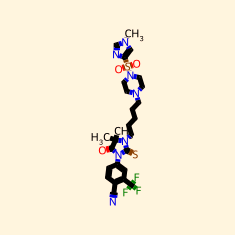 Cn1cnc(S(=O)(=O)N2CCN(CCCCCN3C(=S)N(c4ccc(C#N)c(C(F)(F)F)c4)C(=O)C3(C)C)CC2)c1